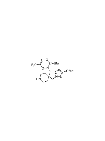 COc1cc2n(n1)CC1(CCNCC1)[C@@H]2N(OC(=O)C(F)(F)F)[S+]([O-])C(C)(C)C